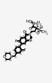 C[C@@](CCn1cnc2cc(-c3ccc(CN4CCOCC4)cc3F)c(F)cc2c1=O)(C(=O)NO)S(C)(=O)=O